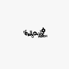 Cc1ccc(C[C@H](NC(=O)OCC2CCCN(C(=O)C(C#N)=CC(C)(C)N3CCC(F)(F)C3)C2)B(O)O)cc1